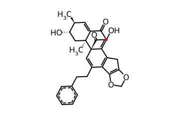 C[C@H]1C=C2C(=O)C=C3C4=C(C(CCc5ccccc5)=C[C@]3(C(=O)CO)[C@@]2(C)C[C@@H]1O)C1=C(C4)OCO1